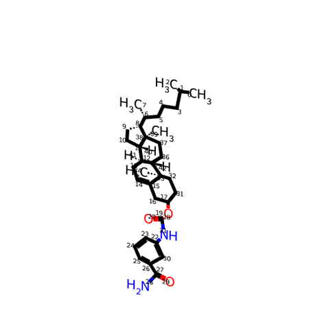 CC(C)CCC[C@@H](C)[C@H]1CC[C@H]2[C@@H]3CC=C4CC(OC(=O)Nc5cccc(C(N)=O)c5)CC[C@]4(C)[C@H]3CC[C@]12C